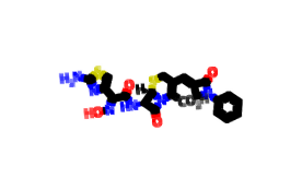 Nc1nc(C(=NO)C(=O)N[C@@H]2C(=O)N3C(C(=O)O)=C(C=C4CN(c5ccccc5)C4=O)CS[C@H]23)cs1